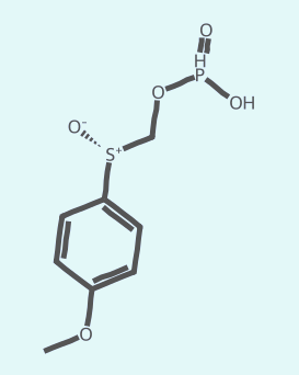 COc1ccc([S@+]([O-])CO[PH](=O)O)cc1